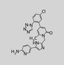 Cc1cc(-c2cc(Cl)ccc2-n2cnnn2)cc(=O)n1Cc1ncc(-c2ccc(N)nc2)[nH]1